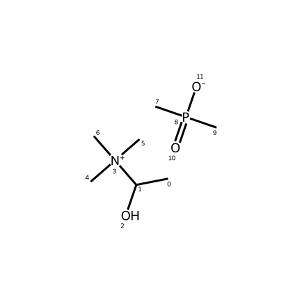 CC(O)[N+](C)(C)C.CP(C)(=O)[O-]